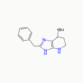 CC(C)(C)C1CCNc2[nH]c(Cc3ccccc3)nc21